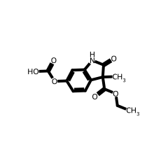 CCOC(=O)C1(C)C(=O)Nc2cc(OC(=O)O)ccc21